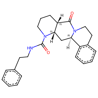 O=C1[C@H]2CCCN(C(=O)NCCc3ccccc3)[C@H]2C[C@@H]2c3ccccc3CCN12